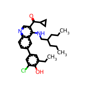 CCCC(CCC)CNc1c(C(=O)C2CC2)cnc2ccc(-c3cc(Cl)c(O)c(CC)c3)cc12